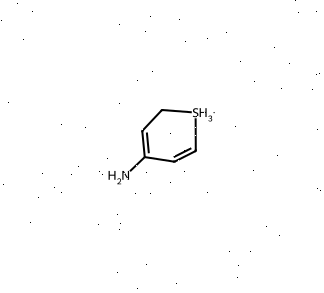 NC1=CC[SH3]C=C1